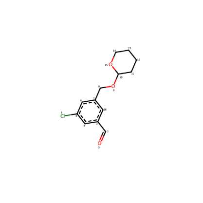 O=Cc1cc(Cl)cc(COC2CCCCO2)c1